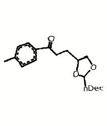 CCCCCCCCCCC1OCC(CCC(=O)c2ccc(C)cc2)O1